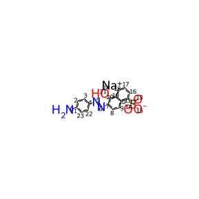 Nc1ccc(N=Nc2ccc3c(S(=O)(=O)[O-])cccc3c2O)cc1.[Na+]